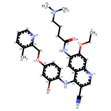 CCOc1cc2ncc(C#N)c(Nc3ccc(OCc4ncccc4C)cc3Br)c2cc1NC(=O)CCCN(C)C